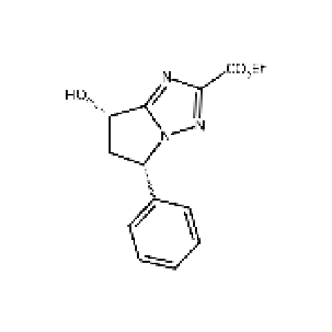 CCOC(=O)c1nc2n(n1)[C@H](c1ccccc1)C[C@@H]2O